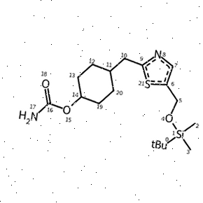 CC(C)(C)[Si](C)(C)OCc1cnc(CC2CCC(OC(N)=O)CC2)s1